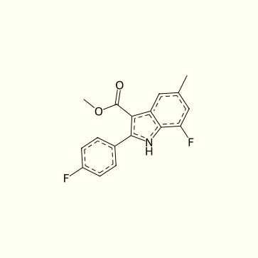 COC(=O)c1c(-c2ccc(F)cc2)[nH]c2c(F)cc(C)cc12